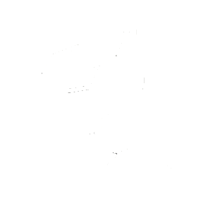 CCCCOC(=O)C=Cc1ccccc1C(O)O